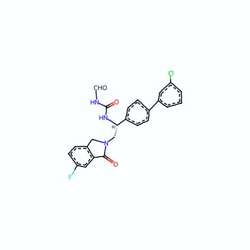 O=CNC(=O)N[C@@H](CN1Cc2ccc(F)cc2C1=O)c1ccc(-c2cccc(Cl)c2)cc1